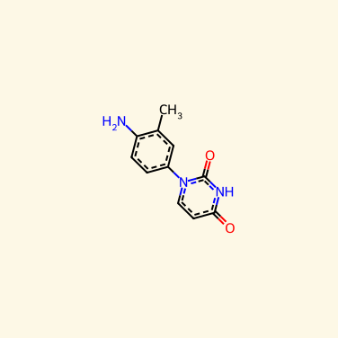 Cc1cc(-n2ccc(=O)[nH]c2=O)ccc1N